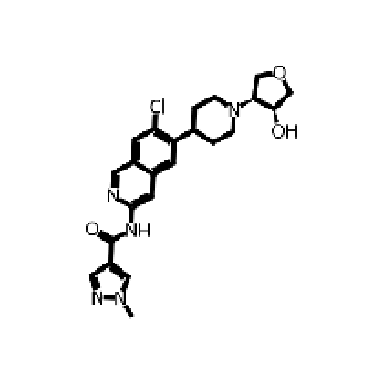 Cn1cc(C(=O)Nc2cc3cc(C4CCN([C@H]5COC[C@H]5O)CC4)c(Cl)cc3cn2)cn1